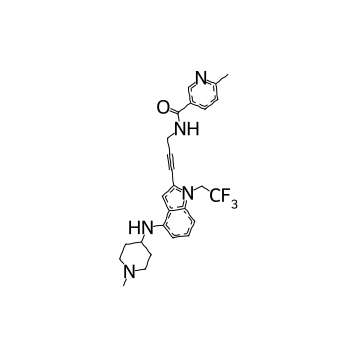 Cc1ccc(C(=O)NCC#Cc2cc3c(NC4CCN(C)CC4)cccc3n2CC(F)(F)F)cn1